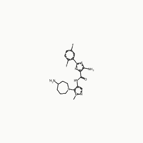 Cn1ncc(NC(=O)c2nc(-c3cc(F)ccc3F)sc2N)c1N1CCCC(N)CC1